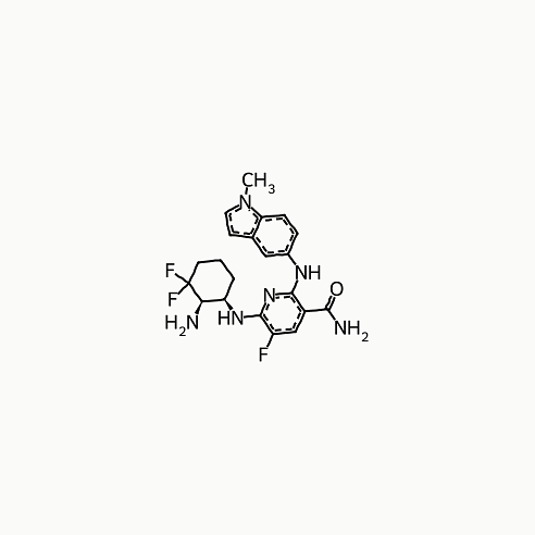 Cn1ccc2cc(Nc3nc(N[C@@H]4CCCC(F)(F)[C@@H]4N)c(F)cc3C(N)=O)ccc21